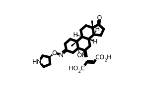 C=C1C[C@H]2[C@@H]3CCC(=O)[C@@]3(C)CC[C@@H]2[C@@]2(C)CCC(=NO[C@H]3CCNC3)C[C@]12O.O=C(O)/C=C/C(=O)O